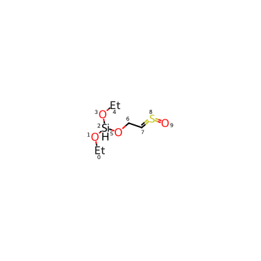 CCO[SiH](OCC)OCC=S=O